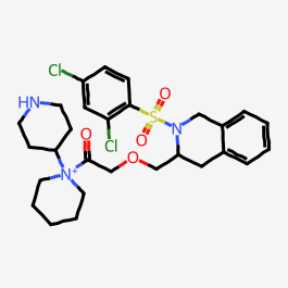 O=C(COCC1Cc2ccccc2CN1S(=O)(=O)c1ccc(Cl)cc1Cl)[N+]1(C2CCNCC2)CCCCC1